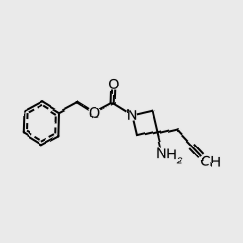 C#CCC1(N)CN(C(=O)OCc2ccccc2)C1